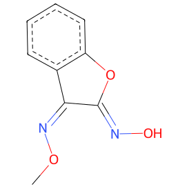 CON=C1C(=NO)Oc2ccccc21